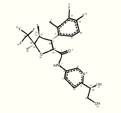 Cc1c([C@@H]2[C@@H](C(=O)Nc3ccc([C@@H](O)CO)nc3)O[C@@](C)(C(F)(F)F)[C@H]2C)ccc(F)c1F